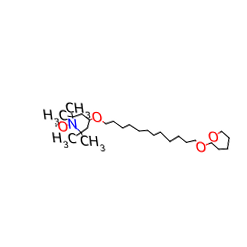 CC1(C)CC(OCCCCCCCCCCCCOC2CCCCO2)CC(C)(C)N1[O]